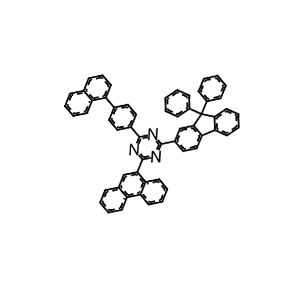 c1ccc(C2(c3ccccc3)c3ccccc3-c3ccc(-c4nc(-c5ccc(-c6cccc7ccccc67)cc5)nc(-c5cc6ccccc6c6ccccc56)n4)cc32)cc1